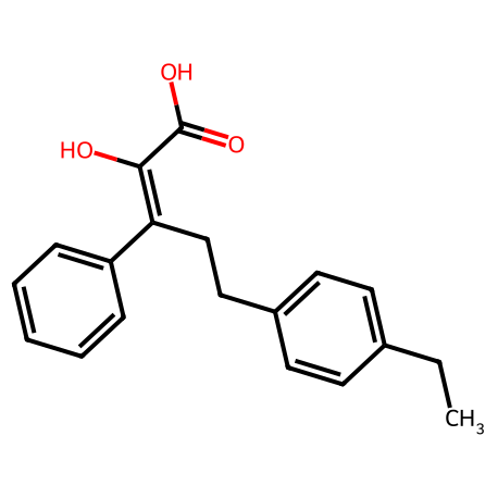 CCc1ccc(CC/C(=C(/O)C(=O)O)c2ccccc2)cc1